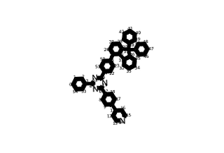 c1ccc(-c2nc(-c3ccc(-c4ccncc4)cc3)nc(-c3ccc(-c4cccc5c4-c4ccccc4C5(c4ccccc4)c4ccccc4)cc3)n2)cc1